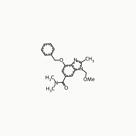 COCn1c(C)nc2c(OCc3ccccc3)cc(C(=O)N(C)C)cc21